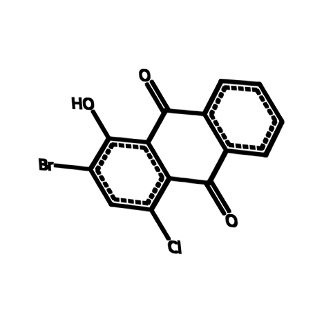 O=C1c2ccccc2C(=O)c2c(O)c(Br)cc(Cl)c21